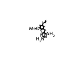 C=CCc1cc(Cc2cnc(N)nc2N)cc(OC)c1